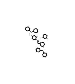 Fc1cc(F)cc([C@@H]2Oc3cc(N=C(c4ccccc4)c4ccccc4)ccc3-c3cc4cc(N=C(c5ccccc5)c5ccccc5)ccc4n32)c1